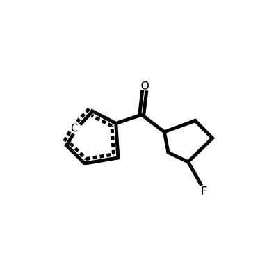 O=C(c1ccccc1)C1CCC(F)C1